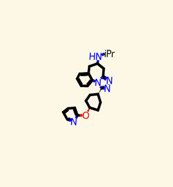 CC(C)NC1Cc2ccccc2-n2c(nnc2[C@H]2CC[C@H](Oc3ccccn3)CC2)C1